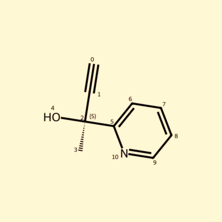 C#C[C@](C)(O)c1ccccn1